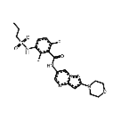 CCCS(=O)(=O)Nc1ccc(F)c(C(=O)Nc2cnc3cc(N4CCOCC4)nn3c2)c1F